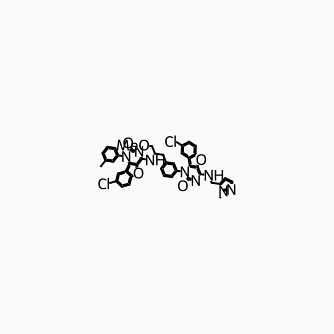 COCC(Cc1cccc(-n2c(=O)nc(NCc3ccnn3C)c3oc4ccc(Cl)cc4c32)c1)Nc1nc(=O)n(-c2cccc(C)c2)c2c1oc1ccc(Cl)cc12